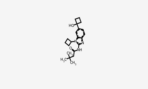 CC(C)(C)CC(=O)Nc1nc2ccc(C3(O)CCC3)cc2n1C1CCC1